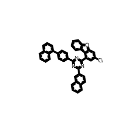 Clc1cc(-c2nc(-c3ccc(-c4cccc5ccccc45)cc3)nc(-c3ccc4ccccc4c3)n2)c2c(c1)oc1ccccc12